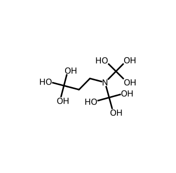 OC(O)(O)CCN(C(O)(O)O)C(O)(O)O